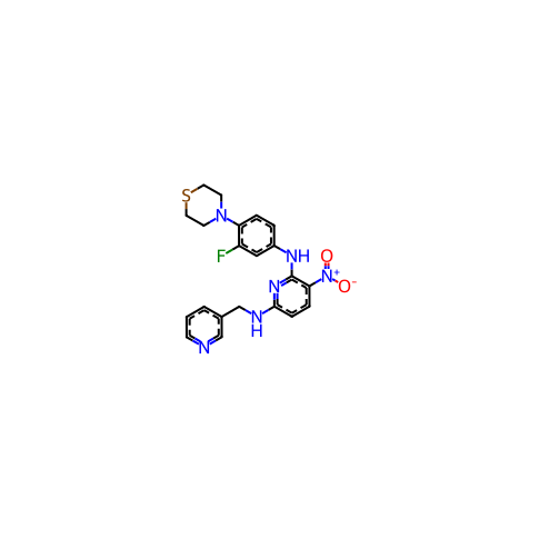 O=[N+]([O-])c1ccc(NCc2cccnc2)nc1Nc1ccc(N2CCSCC2)c(F)c1